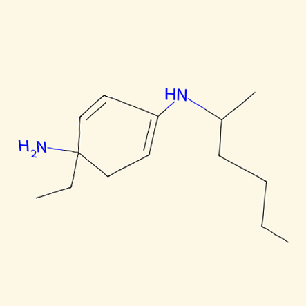 CCCCC(C)NC1=CCC(N)(CC)C=C1